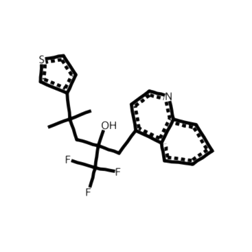 CC(C)(CC(O)(Cc1ccnc2ccccc12)C(F)(F)F)c1ccsc1